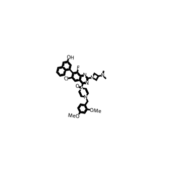 COc1ccc(CN2C=CP(=O)(c3nc(N4CC(N(C)C)C4)nc4c(F)c(-c5cc(O)cc6ccccc56)c(Cl)cc34)C=C2)c(OC)c1